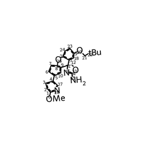 COc1ccc(-c2ccc3c(c2)[C@@]2(COC(N)=N2)c2cc(OCC(C)(C)C)ccc2O3)cn1